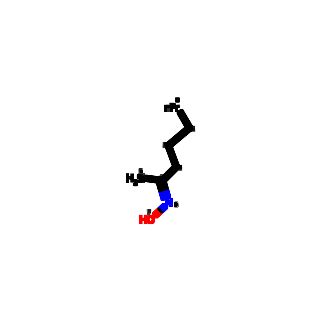 CCCCCCC([SiH3])=NO